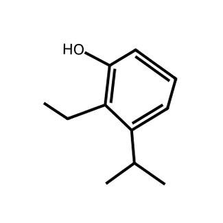 CCc1c(O)cccc1C(C)C